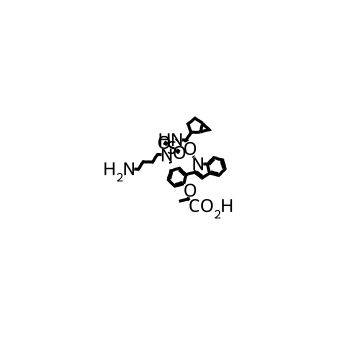 CC(Oc1ccccc1-c1cc2ccccc2n1C)C(=O)O.CN(CCCCN)S(=O)(=O)NC(=O)C1CCC2CC21